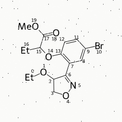 CCOC1CON=C1c1cc(Br)ccc1OC(CC)C(=O)OC